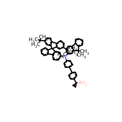 BC1(c2ccc(-c3ccc(N(c4ccc5c(c4)C(C)(C)c4ccccc4-5)c4ccc5c(c4)C4(c6ccccc6-5)c5cc(C(C)(C)C)ccc5-c5ccc(C(C)(C)C)cc54)cc3)cc2)C=C1